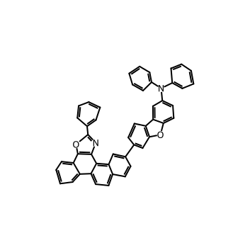 c1ccc(-c2nc3c(o2)c2ccccc2c2ccc4ccc(-c5ccc6c(c5)oc5ccc(N(c7ccccc7)c7ccccc7)cc56)cc4c23)cc1